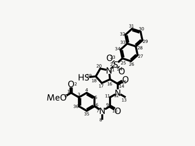 COC(=O)c1ccc(N(C)C(=O)CN(C)C(=O)C2CC(S)CN2S(=O)(=O)c2ccc3ccccc3c2)cc1